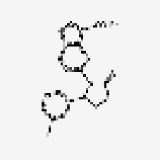 CCOC(=O)c1cnn2ccc(N3C(=O)CCC3c3cccc(F)c3)nc12